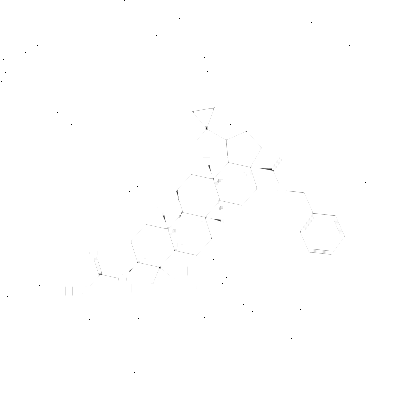 CC(=O)O[C@H]1CC[C@]2(C)C3CC[C@@H]4C5C(C6(C)CC6)CC[C@]5(C(=O)OCc5ccccc5)CC[C@@]4(C)[C@]3(C)CC[C@H]2C1(C)C